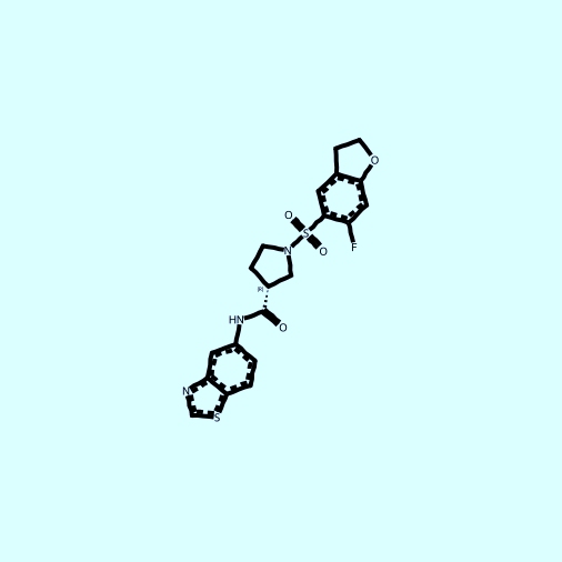 O=C(Nc1ccc2scnc2c1)[C@@H]1CCN(S(=O)(=O)c2cc3c(cc2F)OCC3)C1